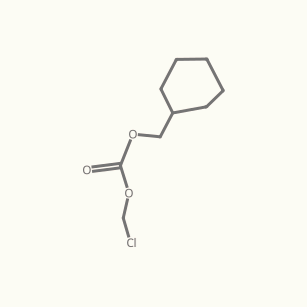 O=C(OCCl)OCC1CCCCC1